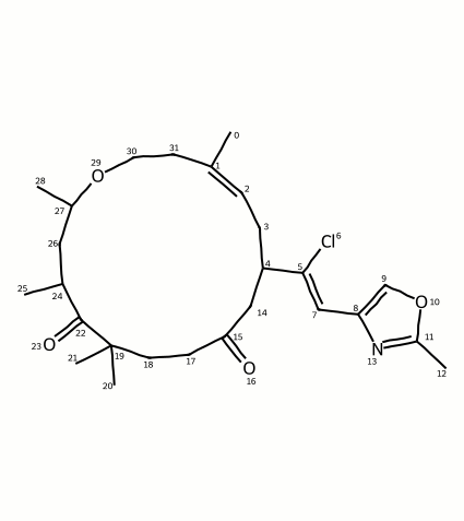 CC1=CCC(C(Cl)=Cc2coc(C)n2)CC(=O)CCC(C)(C)C(=O)C(C)CC(C)OCC1